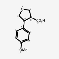 COc1ccc([C@H]2COC[C@H]2C(=O)O)cc1